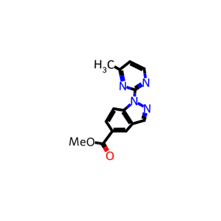 COC(=O)c1ccc2c(cnn2-c2nccc(C)n2)c1